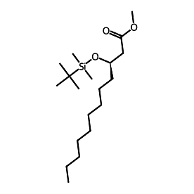 CCCCCCCCC[C@H](CC(=O)OC)O[Si](C)(C)C(C)(C)C